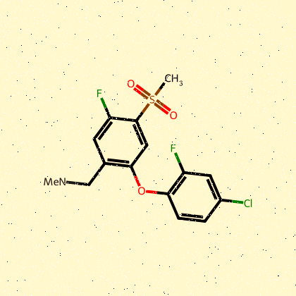 CNCc1cc(F)c(S(C)(=O)=O)cc1Oc1ccc(Cl)cc1F